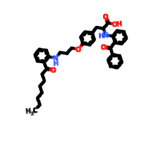 CCCCCCCC(=O)c1ccccc1NCCCOc1ccc(CC(Nc2ccccc2C(=O)c2ccccc2)C(=O)O)cc1